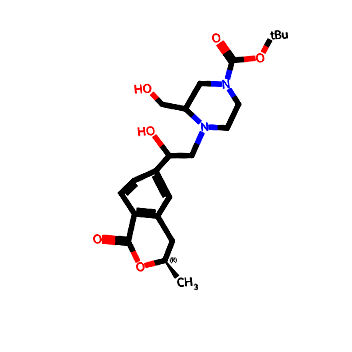 C[C@@H]1Cc2cc(C(O)CN3CCN(C(=O)OC(C)(C)C)CC3CO)ccc2C(=O)O1